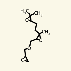 CC1(C)OC1CCC1(C)OC1COCC1CO1